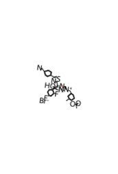 CC(=O)Oc1ccc(C[n+]2cnn(C[C@](O)(c3ccc(F)cc3F)[C@@H](C)c3nc(-c4ccc(C#N)cc4)cs3)c2)cc1C.[Br-]